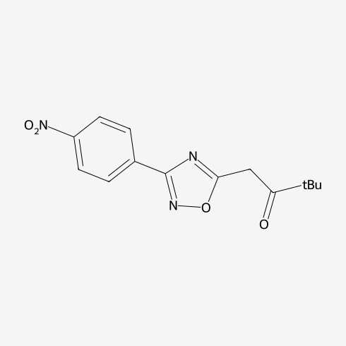 CC(C)(C)C(=O)Cc1nc(-c2ccc([N+](=O)[O-])cc2)no1